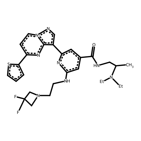 CCN(CC)C(C)CNC(=O)c1cc(NCCN2CC(F)(F)C2)nc(-c2cnn3ccc(-c4cccs4)nc23)c1